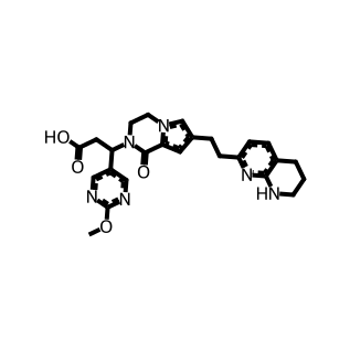 COc1ncc(C(CC(=O)O)N2CCn3cc(CCc4ccc5c(n4)NCCC5)cc3C2=O)cn1